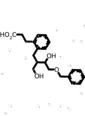 O=C(O)CCc1ccccc1CC(CO)C(O)COCc1ccccc1